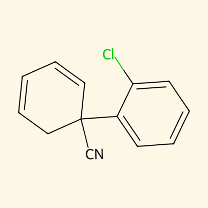 N#CC1(c2ccccc2Cl)C=CC=CC1